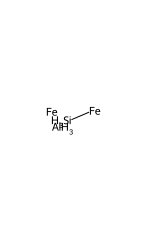 [AlH3].[Fe].[SiH3][Fe]